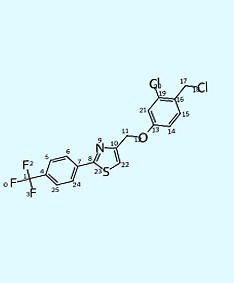 FC(F)(F)c1ccc(-c2nc(COc3ccc(CCl)c(Cl)c3)cs2)cc1